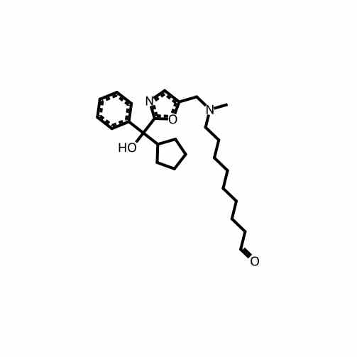 CN(CCCCCCCCC=O)Cc1cnc(C(O)(c2ccccc2)C2CCCC2)o1